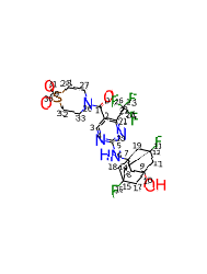 O=C(c1cnc(NC23CC4(O)CC(F)(CC(F)(C4)C2)C3)nc1C(F)(F)F)N1CCS(=O)(=O)CC1